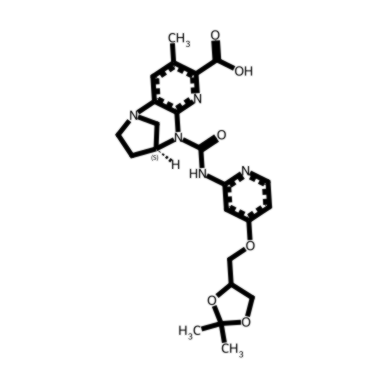 Cc1cc2c(nc1C(=O)O)N(C(=O)Nc1cc(OCC3COC(C)(C)O3)ccn1)[C@H]1CCN2C1